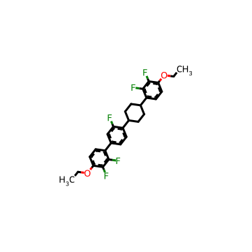 CCOc1ccc(-c2ccc(C3CCC(c4ccc(OCC)c(F)c4F)CC3)c(F)c2)c(F)c1F